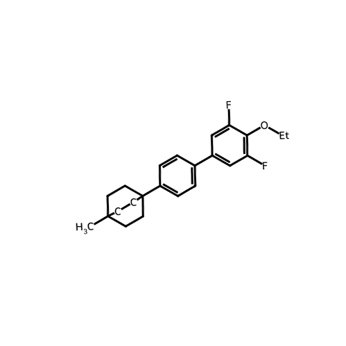 CCOc1c(F)cc(-c2ccc(C34CCC(C)(CC3)CC4)cc2)cc1F